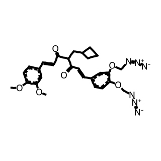 COc1ccc(/C=C/C(=O)C(CC2CCC2)C(=O)/C=C/c2ccc(OCN=[N+]=[N-])c(OCN=[N+]=[N-])c2)cc1OC